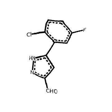 O=Cc1cc(-c2cc(F)ccc2Cl)[nH]n1